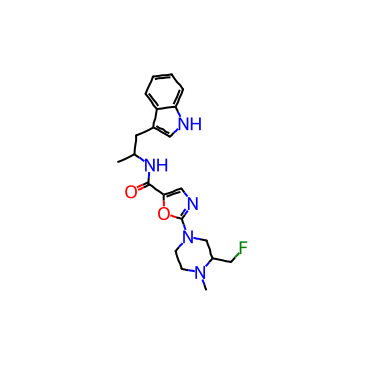 CC(Cc1c[nH]c2ccccc12)NC(=O)c1cnc(N2CCN(C)C(CF)C2)o1